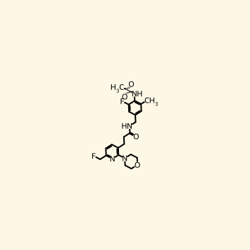 Cc1cc(CNC(=O)CCc2ccc(CF)nc2N2CCOCC2)cc(F)c1NS(C)(=O)=O